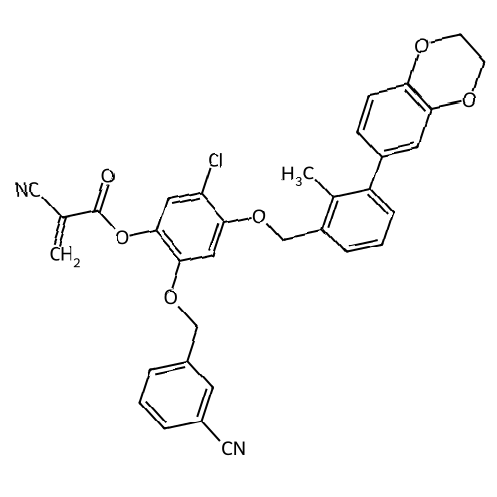 C=C(C#N)C(=O)Oc1cc(Cl)c(OCc2cccc(-c3ccc4c(c3)OCCO4)c2C)cc1OCc1cccc(C#N)c1